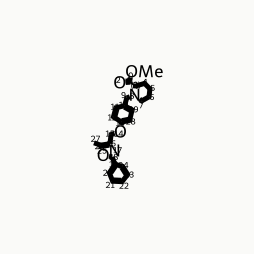 COC(=O)[C@H]1CCCCN1Cc1ccc(OCc2nc(-c3ccccc3)oc2C)cc1